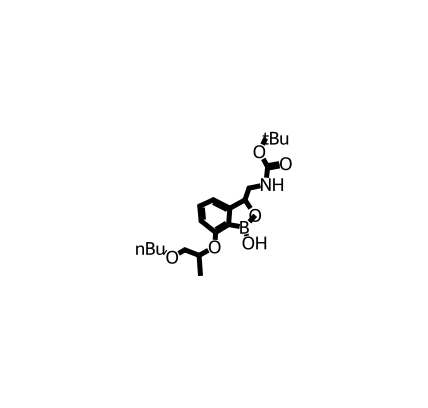 CCCCOCC(C)Oc1cccc2c1B(O)OC2CNC(=O)OC(C)(C)C